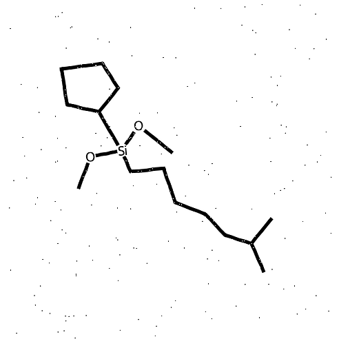 CO[Si](CCCCCC(C)C)(OC)C1CCCC1